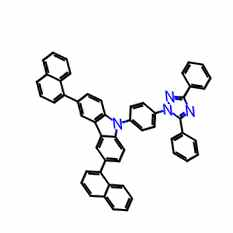 c1ccc(-c2nc(-c3ccccc3)n(-c3ccc(-n4c5ccc(-c6cccc7ccccc67)cc5c5cc(-c6cccc7ccccc67)ccc54)cc3)n2)cc1